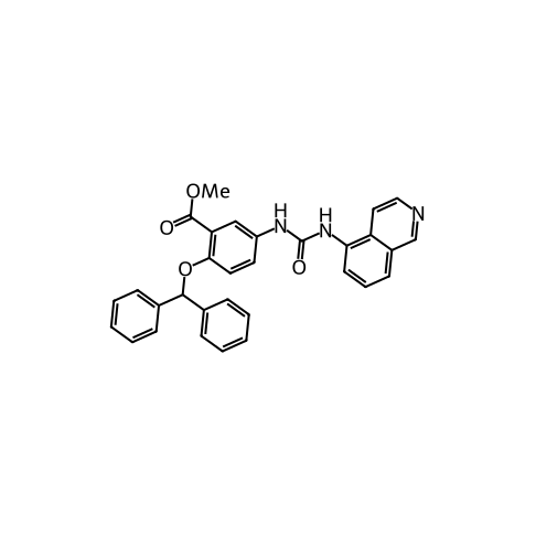 COC(=O)c1cc(NC(=O)Nc2cccc3cnccc23)ccc1OC(c1ccccc1)c1ccccc1